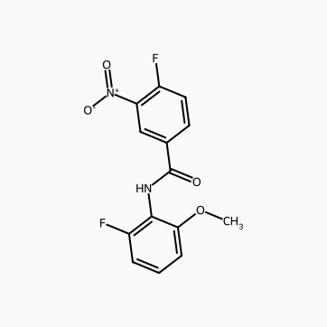 COc1cccc(F)c1NC(=O)c1ccc(F)c([N+](=O)[O-])c1